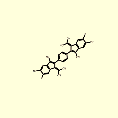 N#CC(C#N)=C1C(c2ccc(C3=C(C#N)c4cc(C#N)c(F)cc4C3=C(C#N)C#N)cc2)=C(C#N)c2cc(C#N)c(F)cc21